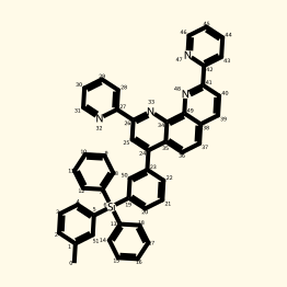 Cc1cccc([Si](c2ccccc2)(c2ccccc2)c2cccc(-c3cc(-c4ccccn4)nc4c3ccc3ccc(-c5ccccn5)nc34)c2)c1